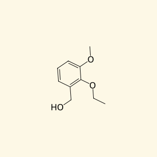 CCOc1c(CO)cccc1OC